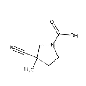 CC1(C#N)CCN(C(=O)O)C1